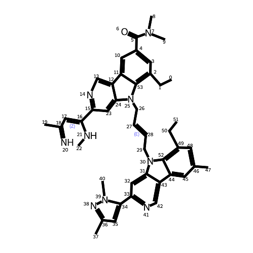 CCc1cc(C(=O)N(C)C)cc2c3cnc(/C(=C/C(C)=N)NC)cc3n(C/C=C/Cn3c4cc(-c5cc(C)nn5C)ncc4c4cc(C)cc(CC)c43)c12